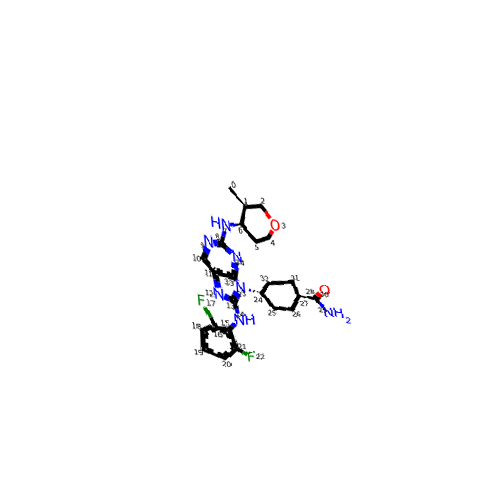 C[C@H]1COCC[C@H]1Nc1ncc2nc(Nc3c(F)cccc3F)n([C@H]3CC[C@H](C(N)=O)CC3)c2n1